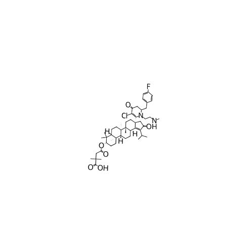 CNCCN1C([C@@]23CC[C@]4(C)[C@H](CC[C@@H]5[C@@]6(C)CC[C@H](OC(=O)CC(C)(C)C(=O)O)C(C)(C)[C@@H]6CC[C@]54C)C2=C(C(C)C)C(=O)C3)=C(Cl)C(=O)CC1Cc1ccc(F)cc1